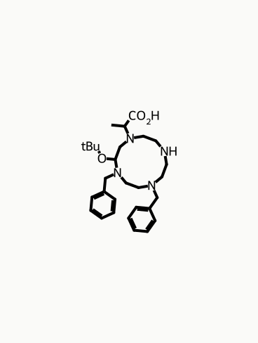 CC(C(=O)O)N1CCNCCN(Cc2ccccc2)CCN(Cc2ccccc2)C(OC(C)(C)C)C1